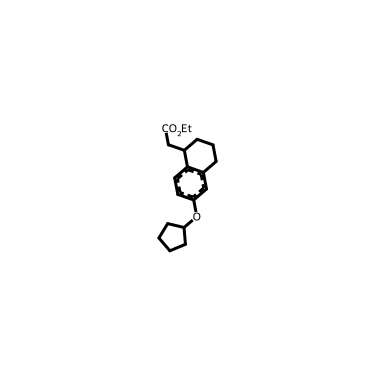 CCOC(=O)CC1CCCc2cc(OC3CCCC3)ccc21